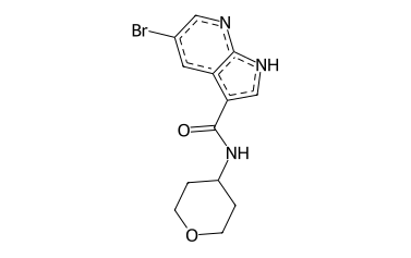 O=C(NC1CCOCC1)c1c[nH]c2ncc(Br)cc12